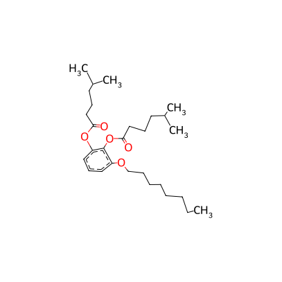 CCCCCCCCOc1cccc(OC(=O)CCCC(C)C)c1OC(=O)CCCC(C)C